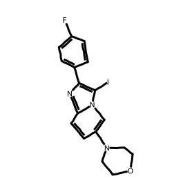 Fc1ccc(-c2nc3ccc(N4CCOCC4)cn3c2I)cc1